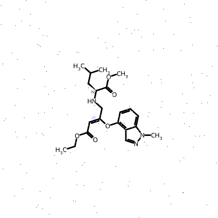 CCOC(=O)/C=C(/CN[C@@H](CC(C)C)C(=O)OC)Oc1cccc2c1cnn2C